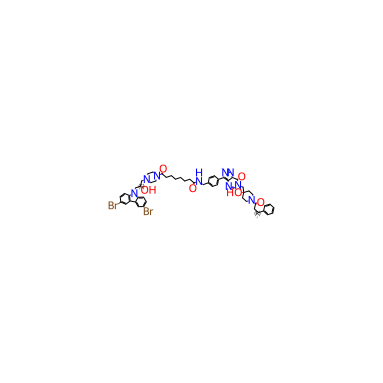 C[C@H](CC(=O)N1CCC(O)(Cn2cnc3c(-c4ccc(CNC(=O)CCCCCCC(=O)N5CCN(C[C@H](O)Cn6c7ccc(Br)cc7c7cc(Br)ccc76)CC5)cc4)n(C)nc3c2=O)CC1)c1ccccc1